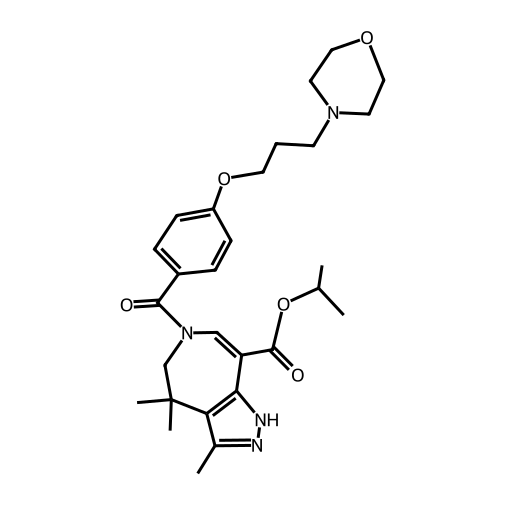 Cc1n[nH]c2c1C(C)(C)CN(C(=O)c1ccc(OCCCN3CCOCC3)cc1)C=C2C(=O)OC(C)C